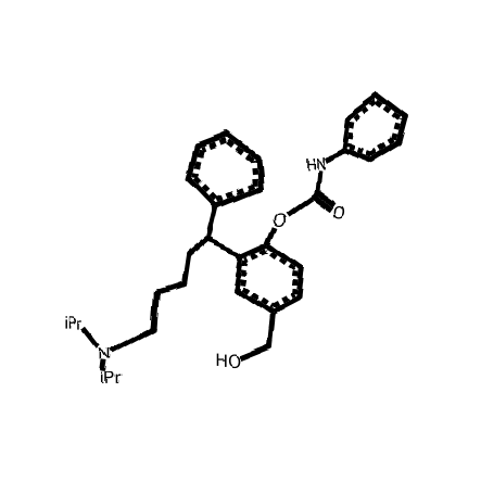 CC(C)N(CCCCC(c1ccccc1)c1cc(CO)ccc1OC(=O)Nc1ccccc1)C(C)C